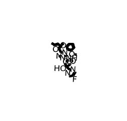 COc1cccc(OC)c1-n1c(NS(=O)(=O)CC(C)(O)c2ncc(F)cn2)nnc1-c1ccc(C)o1